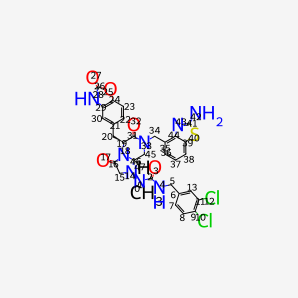 CN(C(=O)NCc1ccc(Cl)c(Cl)c1)N1CC(=O)N2[C@@H](Cc3ccc4oc(=O)[nH]c4c3)C(=O)N(Cc3cccc4sc(N)nc34)C[C@@H]21